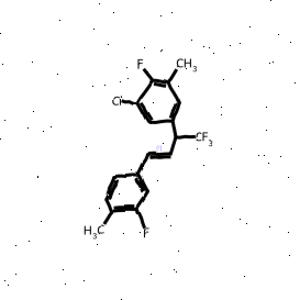 Cc1ccc(/C=C/C(c2cc(C)c(F)c(Cl)c2)C(F)(F)F)cc1F